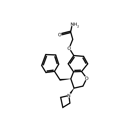 NC(=O)COc1ccc2c(c1)[C@H](Cc1ccccc1)[C@H](N1CCC1)CO2